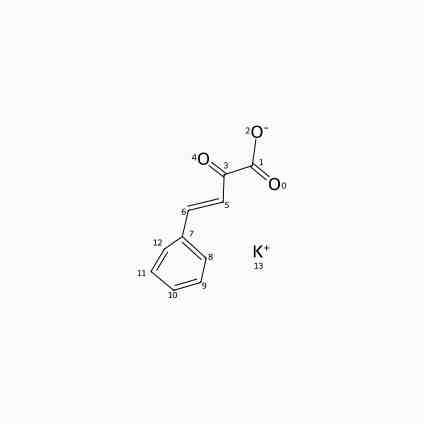 O=C([O-])C(=O)/C=C/c1ccccc1.[K+]